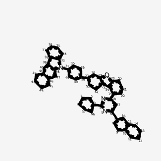 c1ccc(-c2nc(-c3ccc4ccccc4c3)cc(-c3cccc4oc5cc(-c6ccc(-n7c8ccccc8c8cc9ccccc9cc87)cc6)ccc5c34)n2)cc1